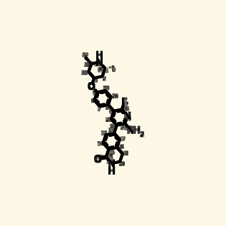 C[C@@H]1CC(Oc2ccc(-c3cc(-c4ccc5c(c4)CCNC5=O)c(N)nc3F)cc2)C[C@@H](C)N1